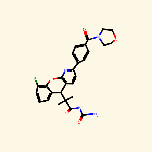 CC(C)(C(=O)NC(N)=O)C1c2ccc(-c3ccc(C(=O)N4CCOCC4)cc3)nc2Oc2c(F)cccc21